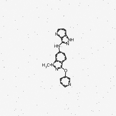 Cn1nc(Oc2cccnc2)c2ccc(Nc3n[nH]c4cccnc34)cc21